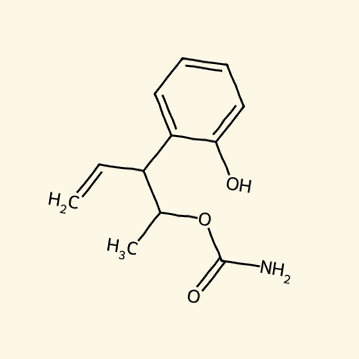 C=CC(c1ccccc1O)C(C)OC(N)=O